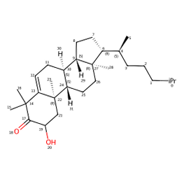 CC(C)CCC[C@H](C)[C@H]1CC[C@H]2[C@@H]3CC=C4C(C)(C)C(=O)C(O)C[C@]4(C)[C@H]3CC[C@]12C